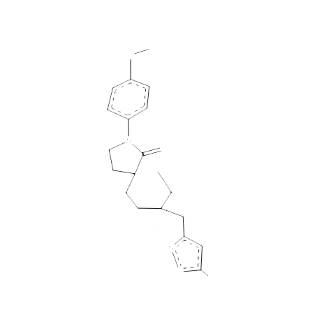 Cc1cc(C[C@]2(O)CC[C@@]3(CCN(c4ccc(OC(C)C)cc4)C3=O)CC2)no1